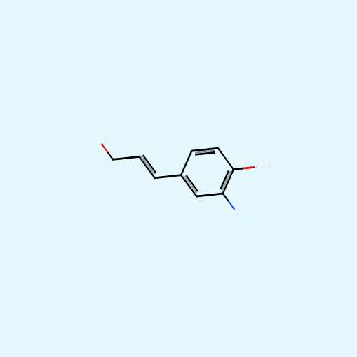 Nc1cc(C=CCO)ccc1O